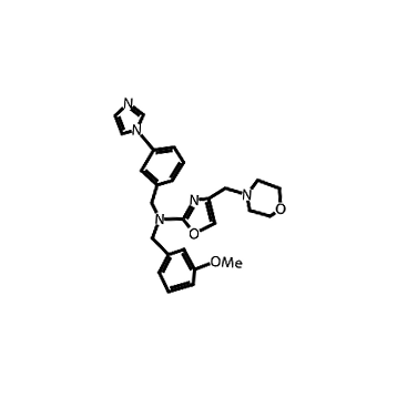 COc1cccc(CN(Cc2cccc(-n3ccnc3)c2)c2nc(CN3CCOCC3)co2)c1